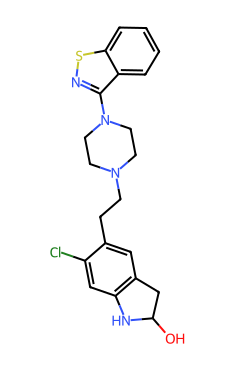 OC1Cc2cc(CCN3CCN(c4nsc5ccccc45)CC3)c(Cl)cc2N1